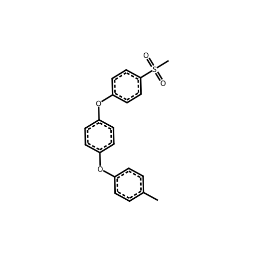 Cc1ccc(Oc2ccc(Oc3ccc(S(C)(=O)=O)cc3)cc2)cc1